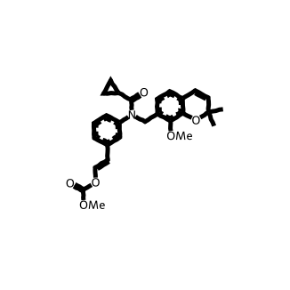 COC(=O)O/C=C/c1cccc(N(Cc2ccc3c(c2OC)OC(C)(C)C=C3)C(=O)C2CC2)c1